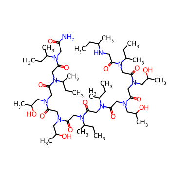 CCC(C)NCC(=O)N(CC(=O)N(CC(=O)N(CC(=O)N(CC(=O)N(CC(=O)N(CC(=O)N(CC(=O)N(CC(=O)N(CC(N)=O)C(C)CC)C(C)CC)CC(C)O)CC(C)O)C(C)CC)C(C)CC)CC(C)O)CC(C)O)C(C)CC